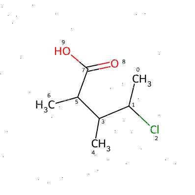 CC(Cl)C(C)C(C)C(=O)O